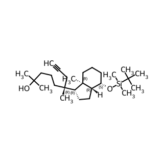 C#CC[C@@](C)(CCCC(C)(C)O)[C@H]1CC[C@H]2[C@@H](O[Si](C)(C)C(C)(C)C)CCC[C@]12C